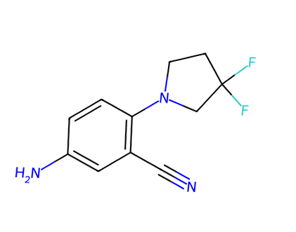 N#Cc1cc(N)ccc1N1CCC(F)(F)C1